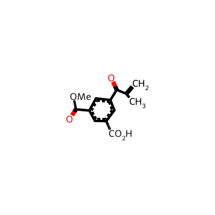 C=C(C)C(=O)c1cc(C(=O)O)cc(C(=O)OC)c1